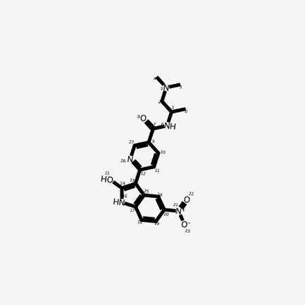 CC(CN(C)C)NC(=O)c1ccc(-c2c(O)[nH]c3ccc([N+](=O)[O-])cc23)nc1